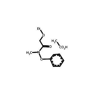 CC(=O)O.CCOCC(=O)N(C)Oc1ccccc1